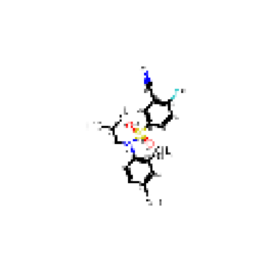 Cc1ccc(N(CC(C)C)S(=O)(=O)c2ccc(F)c(C#N)c2)c(C)c1